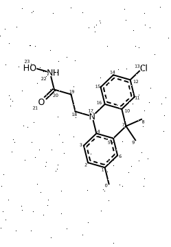 Cc1ccc2c(c1)C(C)(C)c1cc(Cl)ccc1N2CCC(=O)NO